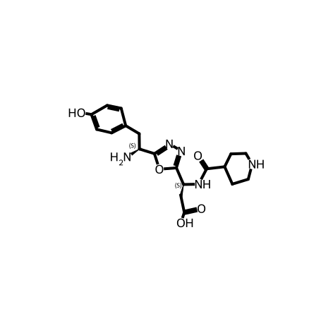 N[C@@H](Cc1ccc(O)cc1)c1nnc([C@H](CC(=O)O)NC(=O)C2CCNCC2)o1